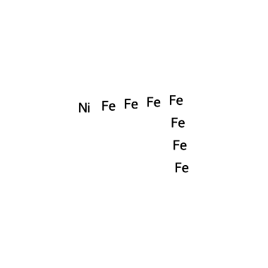 [Fe].[Fe].[Fe].[Fe].[Fe].[Fe].[Fe].[Ni]